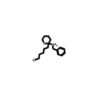 ClCCCCCC1([SiH2]Cc2ccccc2)CCCCO1